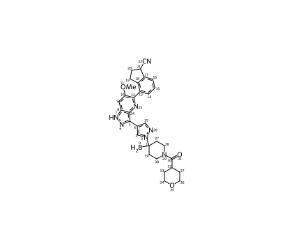 BC1(n2cc(-c3n[nH]c4cc(OC)c(-c5cccc6c5CCC6C#N)nc34)cn2)CCN(C(=O)C2CCOCC2)CC1